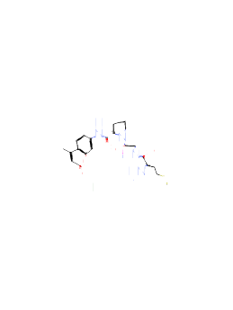 CSCC[C@H](N)C(=O)NCC(=O)N1CCC[C@H]1C(=O)Nc1ccc2c(C)cc(=O)oc2c1.Cl